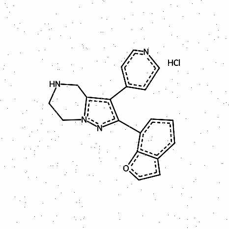 Cl.c1cc(-c2nn3c(c2-c2ccncc2)CNCC3)c2occc2c1